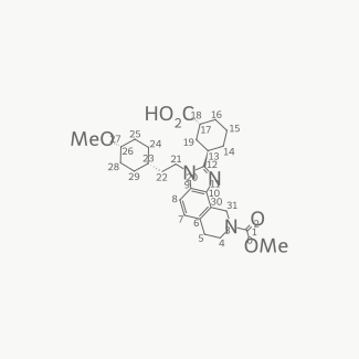 COC(=O)N1CCc2ccc3c(nc([C@@H]4CCC[C@@H](C(=O)O)C4)n3CC[C@H]3CC[C@@H](OC)CC3)c2C1